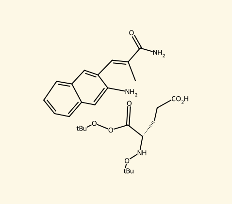 CC(=Cc1cc2ccccc2cc1N)C(N)=O.CC(C)(C)ON[C@@H](CCC(=O)O)C(=O)OOC(C)(C)C